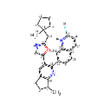 CC1CCc2cc(-c3cnc(CC4(C)CCCC4)o3)c(-c3ccc4ccc(F)nc4c3)nc21